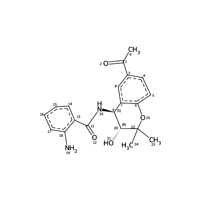 CC(=O)c1ccc2c(c1)[C@H](NC(=O)c1ccccc1N)[C@@H](O)C(C)(C)O2